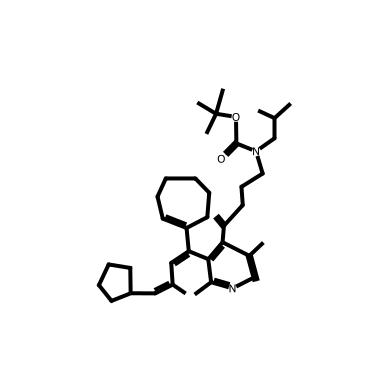 C=C(C)/C(C(=C)CCCN(CC(C)C)C(=O)OC(C)(C)C)=C(C(=C\C(C)=C/C1CCCC1)/C1=CCCCCC1)\C(C)=N/C